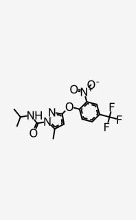 Cc1cc(Oc2ccc(C(F)(F)F)cc2[N+](=O)[O-])nn1C(=O)NC(C)C